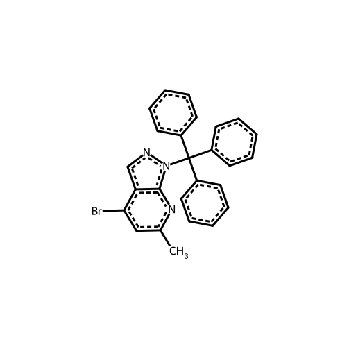 Cc1cc(Br)c2cnn(C(c3ccccc3)(c3ccccc3)c3ccccc3)c2n1